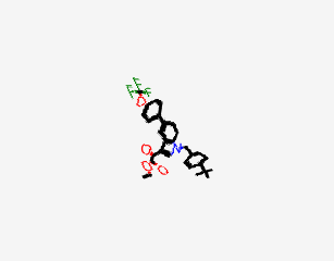 CCOC(=O)C(=O)c1cn(Cc2ccc(C(C)(C)C)cc2)c2ccc(-c3ccc(OC(F)(F)F)cc3)cc12